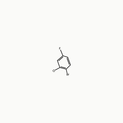 [O]c1cc(F)ccc1Br